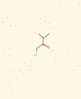 CC(C)C(=O)C[18F]